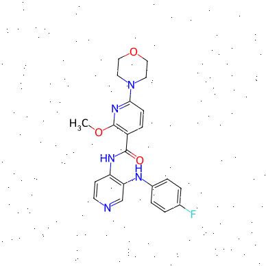 COc1nc(N2CCOCC2)ccc1C(=O)Nc1ccncc1Nc1ccc(F)cc1